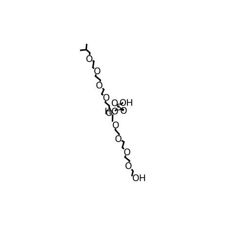 CC(C)COCCOCCOCCOCCOCCOCCOCCOCCOCCO.O=S(=O)(O)O